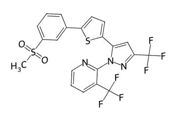 CS(=O)(=O)c1cccc(-c2ccc(-c3cc(C(F)(F)F)nn3-c3ncccc3C(F)(F)F)s2)c1